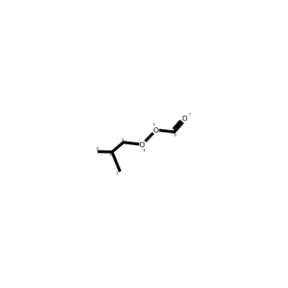 CC(C)COOC=O